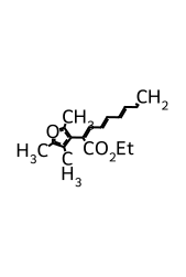 C=CC=CC=CC=C(C(=O)OCC)c1c(C)oc(C)c1C